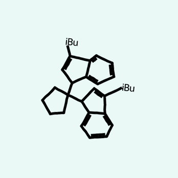 CCC(C)C1=CC(C2(C3C=C(C(C)CC)c4ccccc43)CCCC2)c2ccccc21